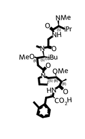 CC[C@H](C)[C@@H]([C@@H](CC(=O)N1CCC[C@H]1[C@H](OC)[C@@H](C)C(=O)N[C@@H](Cc1ccccc1C)C(=O)O)OC)N(C)C(=O)CNC(=O)[C@@H](NC)C(C)C